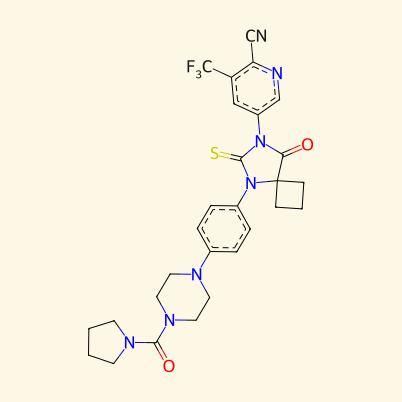 N#Cc1ncc(N2C(=O)C3(CCC3)N(c3ccc(N4CCN(C(=O)N5CCCC5)CC4)cc3)C2=S)cc1C(F)(F)F